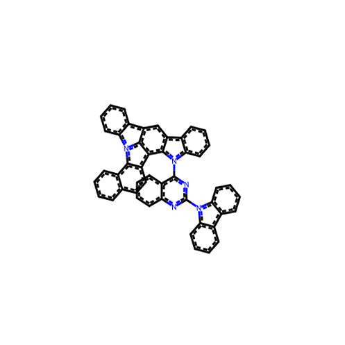 c1ccc2c(c1)ccc1c3c4c(cc5c6ccccc6n(c21)c53)c1ccccc1n4-c1nc(-n2c3ccccc3c3ccccc32)nc2ccccc12